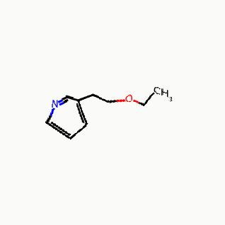 CCOCCc1cccnc1